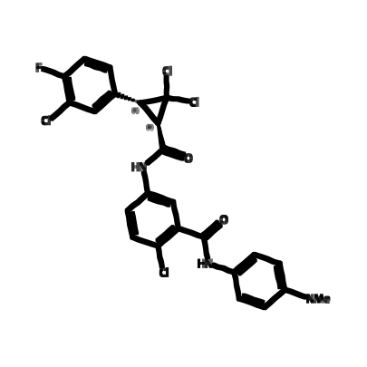 CNc1ccc(NC(=O)c2cc(NC(=O)[C@H]3[C@H](c4ccc(F)c(Cl)c4)C3(Cl)Cl)ccc2Cl)cc1